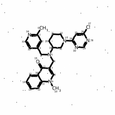 Cc1cc(CN(Cc2cn(C)c3ccccc3c2=O)C2CCCN(c3cc(Cl)ncn3)C2)ccn1